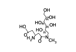 CN(C[C@H](O)[C@@H](O)[C@H](O)[C@H](O)CO)C(=O)CC(N)CC(=O)O